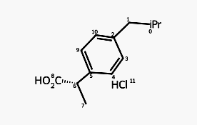 CC(C)Cc1ccc([C@H](C)C(=O)O)cc1.Cl